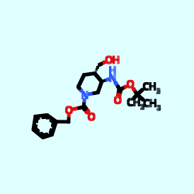 CC(C)(C)OC(=O)N[C@H]1CN(C(=O)OCc2ccccc2)CC[C@@H]1CO